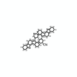 N#Cc1ccc(-c2ccncc2-n2c3ccccc3c3c4sc5ccccc5c4ccc32)c(-n2c3ccccc3c3c4sc5ccccc5c4ccc32)c1